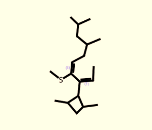 C/C=C(\C(=C/CC(C)CC(C)C)SC)C1C(C)CC1C